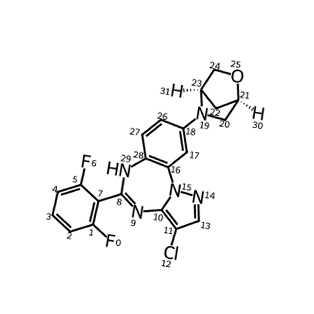 Fc1cccc(F)c1C1=Nc2c(Cl)cnn2-c2cc(N3C[C@H]4C[C@@H]3CO4)ccc2N1